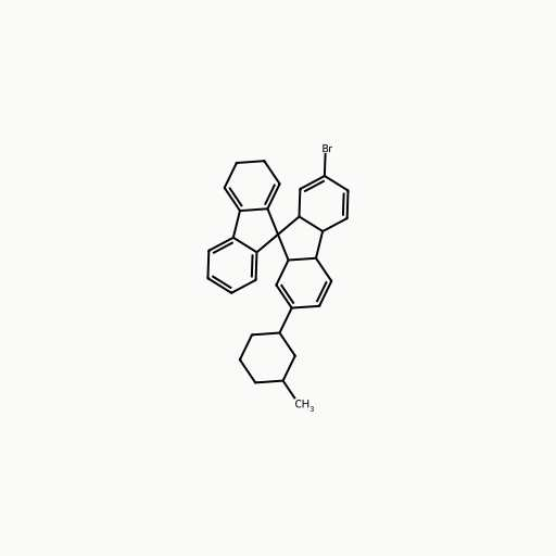 CC1CCCC(C2=CC3C(C=C2)C2C=CC(Br)=CC2C32C3=CCCC=C3c3ccccc32)C1